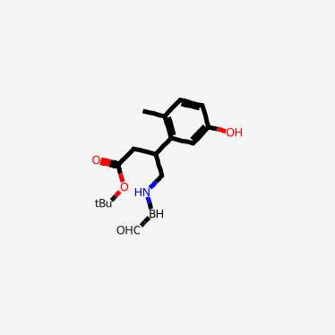 Cc1ccc(O)cc1C(CNBC=O)CC(=O)OC(C)(C)C